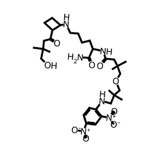 CC(C)(CNc1ccc([N+](=O)[O-])cc1[N+](=O)[O-])COCC(C)(C)CC(=O)NC(CCCCNC1CCC1C(=O)CC(C)(C)CO)C(N)=O